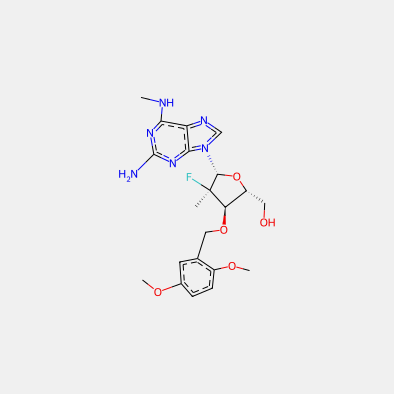 CNc1nc(N)nc2c1ncn2[C@@H]1O[C@H](CO)[C@@H](OCc2cc(OC)ccc2OC)[C@@]1(C)F